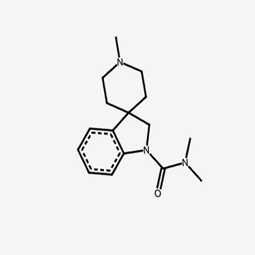 CN1CCC2(CC1)CN(C(=O)N(C)C)c1ccccc12